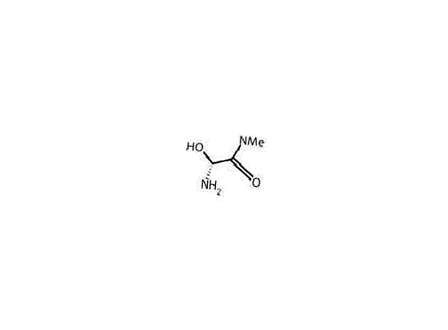 CNC(=O)[C@H](N)O